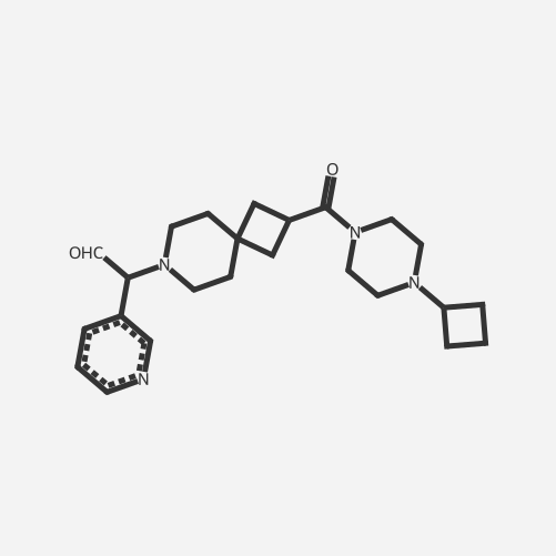 O=CC(c1cccnc1)N1CCC2(CC1)CC(C(=O)N1CCN(C3CCC3)CC1)C2